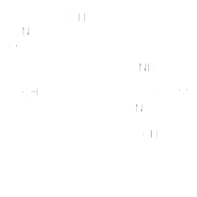 Cc1noc(C)c1-c1cc(C2=CCCCC2)c2c(c1)[nH]c(=O)n2C